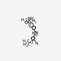 CC(C)Oc1ccc(-c2nc(-c3ccc4c(c3)CCN(C(=O)C(C)(C)N)CC4)no2)cc1C#N